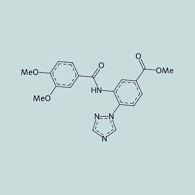 COC(=O)c1ccc(-n2cncn2)c(NC(=O)c2ccc(OC)c(OC)c2)c1